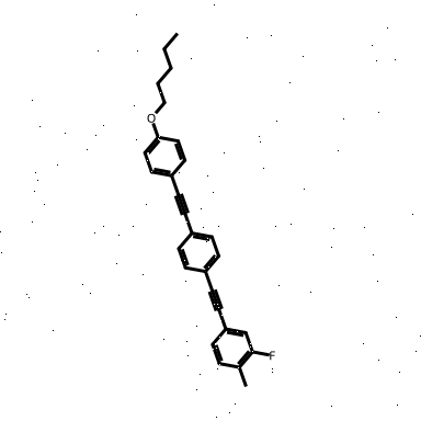 CCCCCOc1ccc(C#Cc2ccc(C#Cc3ccc(C)c(F)c3)cc2)cc1